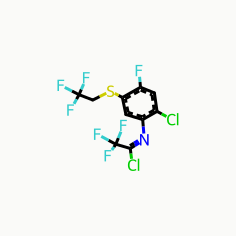 Fc1cc(Cl)c(/N=C(/Cl)C(F)(F)F)cc1SCC(F)(F)F